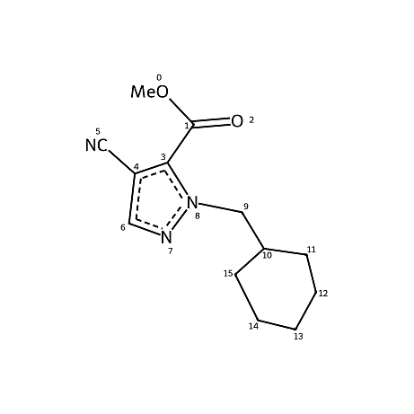 COC(=O)c1c(C#N)cnn1CC1CCCCC1